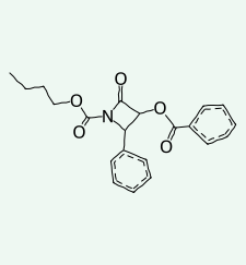 CCCCOC(=O)N1C(=O)C(OC(=O)c2ccccc2)C1c1ccccc1